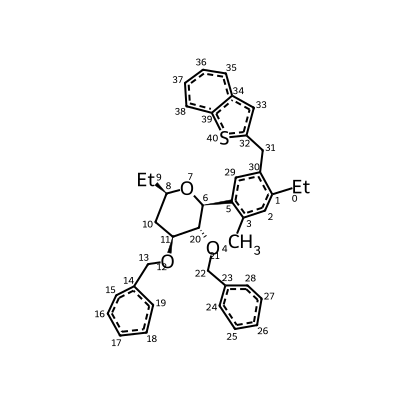 CCc1cc(C)c([C@@H]2O[C@H](CC)C[C@H](OCc3ccccc3)[C@H]2OCc2ccccc2)cc1Cc1cc2ccccc2s1